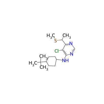 CSC(C)c1ncnc(NC2CCC(C(C)(C)C)CC2)c1Cl